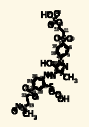 Cc1nn(-c2ccc(S(=O)(=O)CCOS(=O)(=O)O)cc2)c(O)c1N=Nc1ccc(S(=O)(=O)CCN(C)N=O)cc1SOOO